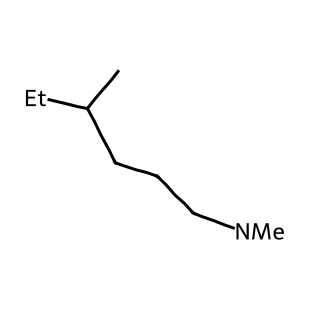 [C]NCCCC(C)CC